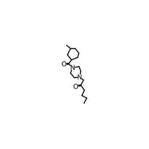 CCCCC(=O)CN1CCN(C(=O)C2CCCC(C)C2)CC1